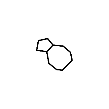 C1CCCC2CCC[C]2CC1